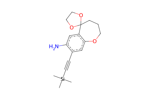 C[Si](C)(C)C#Cc1cc2c(cc1N)C1(CCCO2)OCCO1